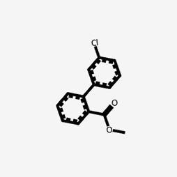 COC(=O)c1ccccc1-c1cccc(Cl)c1